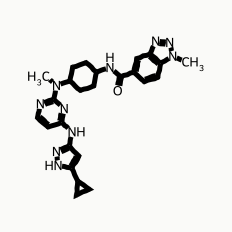 CN(c1nccc(Nc2cc(C3CC3)[nH]n2)n1)C1CCC(NC(=O)c2ccc3c(c2)nnn3C)CC1